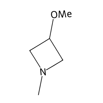 COC1CN(C)C1